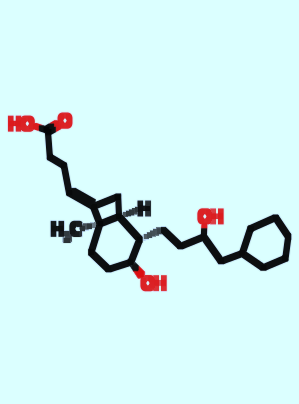 C[C@@]12CC[C@H](O)[C@@H](CCC(O)CC3CCCCC3)[C@@H]1CC2=CCCC(=O)O